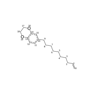 C=CCCCCCCCCc1ccc2c(c1)OCCO2